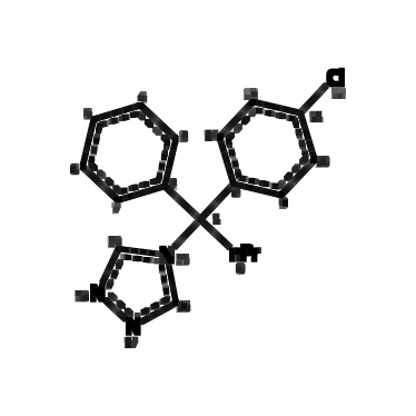 CCCC(c1ccccc1)(c1ccc(Cl)cc1)n1cnnc1